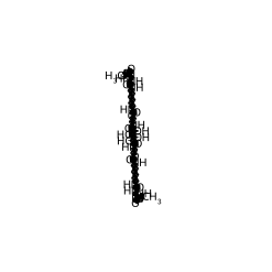 Cc1cc(=O)nc(NC(=O)NCCCCCCNC(=O)OCCNC(=O)[C@@H](O)C(O)[C@H](O)[C@@H](O)C(=O)NCCOC(=O)NCCCCCCNC(=O)Nc2nc(=O)cc(C)[nH]2)[nH]1